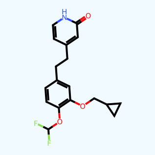 O=c1cc(CCc2ccc(OC(F)F)c(OCC3CC3)c2)cc[nH]1